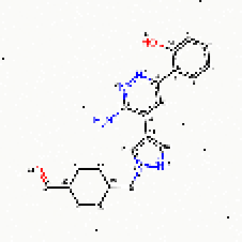 Nc1nnc(-c2ccccc2O)cc1-c1cnn(CC2CCC(C=O)CC2)c1